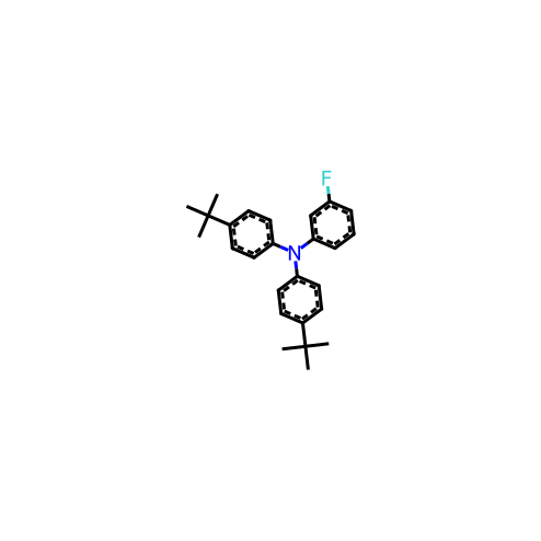 CC(C)(C)c1ccc(N(c2ccc(C(C)(C)C)cc2)c2cccc(F)c2)cc1